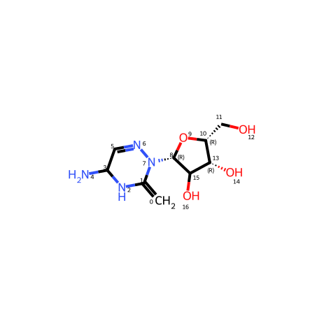 C=C1NC(N)C=NN1[C@@H]1O[C@H](CO)[C@H](O)C1O